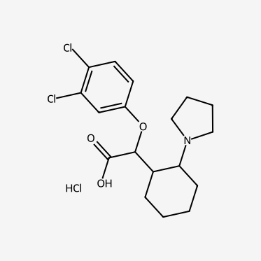 Cl.O=C(O)C(Oc1ccc(Cl)c(Cl)c1)C1CCCCC1N1CCCC1